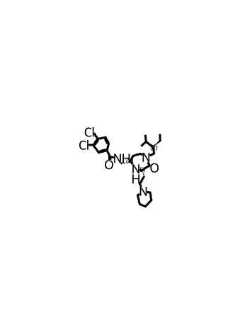 CC[C@@H](CN1CC[C@@H](CNC(=O)c2ccc(Cl)c(Cl)c2)N[C@@H](CCN2CCCCC2)C1=O)C(C)C